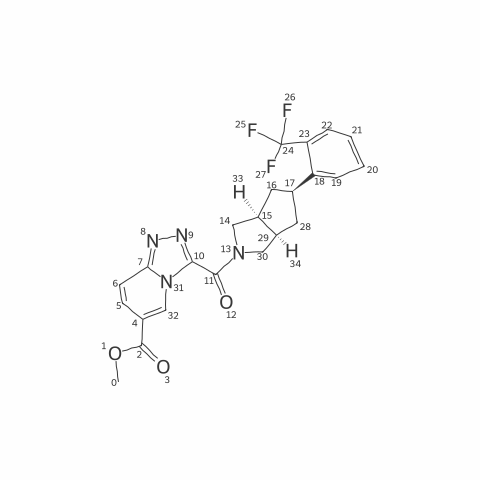 COC(=O)c1ccc2nnc(C(=O)N3C[C@H]4C[C@@H](c5ccccc5C(F)(F)F)C[C@H]4C3)n2c1